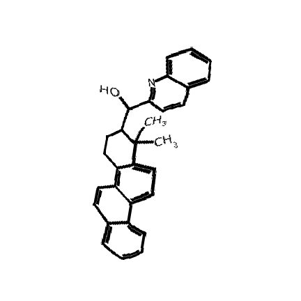 CC1(C)c2ccc3c(ccc4ccccc43)c2CCC1C(O)c1ccc2ccccc2n1